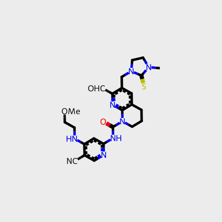 COCCNc1cc(NC(=O)N2CCCc3cc(CN4CCN(C)C4=S)c(C=O)nc32)ncc1C#N